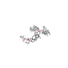 CC(=O)CCOC(C)[C@H]1CC[C@H]2C3=CC=C4CC(O[Si](C)(C)C(C)(C)C)CC(O[Si](C)(C)C(C)(C)C)[C@]4(C)[C@H]3CC[C@]12C